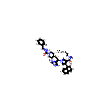 COCCN(C)C(=O)c1cn(C(CC2CCN(C(=O)NCc3ccccc3)CC2)c2cnc[nH]2)cc1-c1cccc2ccccc12